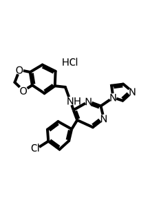 Cl.Clc1ccc(-c2cnc(-n3ccnc3)nc2NCc2ccc3c(c2)OCO3)cc1